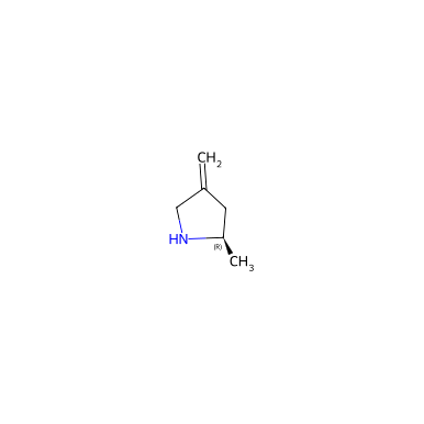 C=C1CN[C@H](C)C1